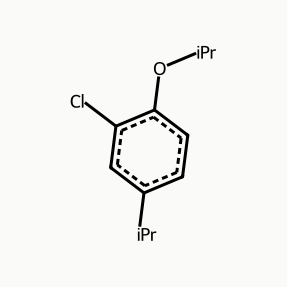 CC(C)Oc1ccc(C(C)C)cc1Cl